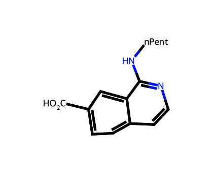 CCCCCNc1nccc2ccc(C(=O)O)cc12